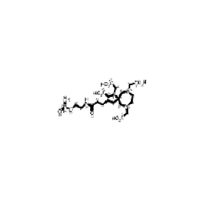 O=C(O)CN1CCN(CC(=O)O)CC(CCCCC(=O)NCCO[PH](=O)O)(N(CC(=O)O)CC(=O)O)C1